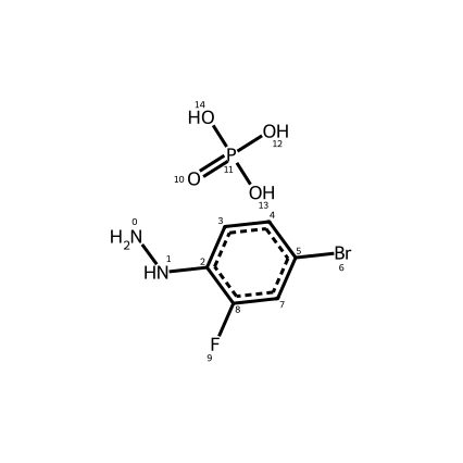 NNc1ccc(Br)cc1F.O=P(O)(O)O